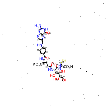 Nc1nc2ncc(CNc3ccc(C(=O)NC(CCC(=O)N[C@H](C(=O)NC(CS)C(=O)O)[C@@H](O)[C@H](O)[C@H](O)CO)C(=O)O)cc3)nc2c(=O)[nH]1